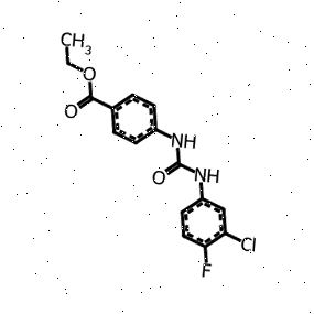 CCOC(=O)c1ccc(NC(=O)Nc2ccc(F)c(Cl)c2)cc1